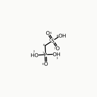 O=P(O)(O)CS(=O)(=O)O